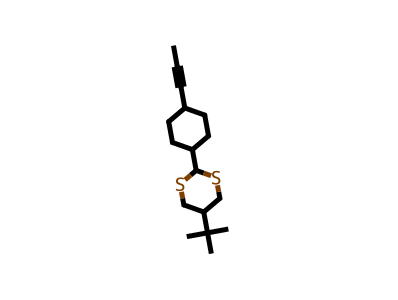 CC#CC1CCC(C2SCC(C(C)(C)C)CS2)CC1